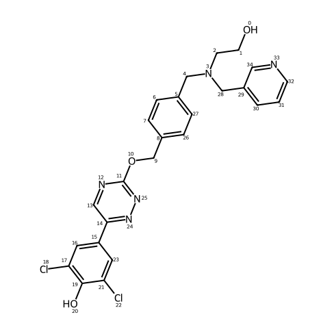 OCCN(Cc1ccc(COc2ncc(-c3cc(Cl)c(O)c(Cl)c3)nn2)cc1)Cc1cccnc1